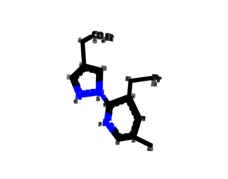 CCOC(=O)Cc1cnn(-c2ncc(C)cc2CC(C)C)c1